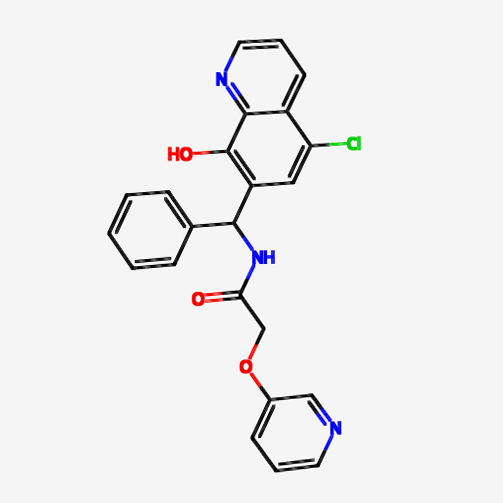 O=C(COc1cccnc1)NC(c1ccccc1)c1cc(Cl)c2cccnc2c1O